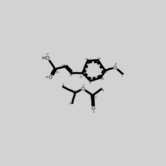 CC(=O)OC(C)C.COc1ccc(C=CC(=O)O)cc1